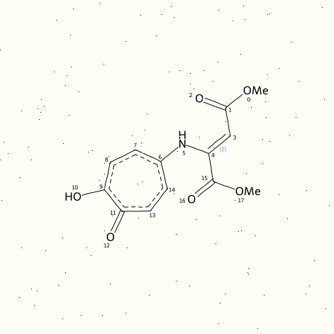 COC(=O)/C=C(\Nc1ccc(O)c(=O)cc1)C(=O)OC